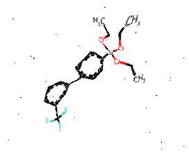 CCO[Si](OCC)(OCC)c1ccc(-c2cccc(C(F)(F)F)c2)cc1